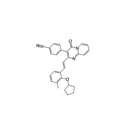 Cc1cccc(C=Cc2nc3ccccn3c(=O)c2-c2ccc(C#N)cc2)c1OC1CCCC1